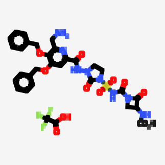 NCc1nc(C(=O)NN2CCN(S(=O)(=O)NC(=O)N3CC(NC(=O)O)C3=O)C2=O)cc(OCc2ccccc2)c1OCc1ccccc1.O=C(O)C(F)(F)F